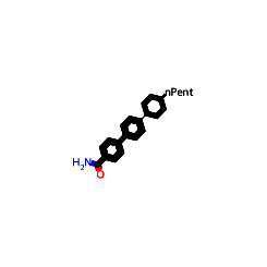 CCCCC[C@H]1CC[C@H](c2ccc(-c3ccc(C(N)=O)cc3)cc2)CC1